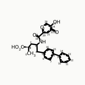 C[C@H](CC(Cc1ccc(-c2ccccc2)cc1)NC(=O)c1cc(=O)c(O)co1)C(=O)O